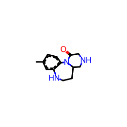 Cc1ccc2c(c1)NCCC1CNCC(=O)N21